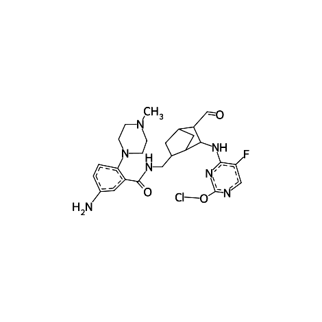 CN1CCN(c2ccc(N)cc2C(=O)NCC2CC3CC2C(Nc2nc(OCl)ncc2F)C3C=O)CC1